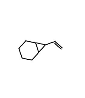 C=[C]C1C2CCCCC12